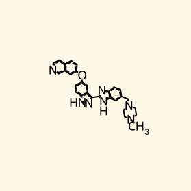 CN1CCN(Cc2ccc3nc(-c4n[nH]c5ccc(Oc6ccc7ccncc7c6)cc45)[nH]c3c2)CC1